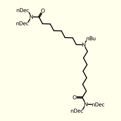 CCCCCCCCCCN(CCCCCCCCCC)C(=O)CCCCCCCN(CCCC)CCCCCCCC(=O)N(CCCCCCCCCC)CCCCCCCCCC